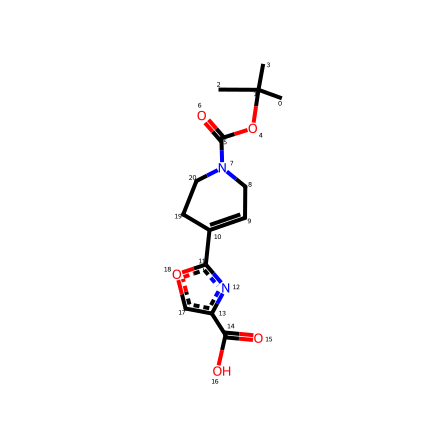 CC(C)(C)OC(=O)N1CC=C(c2nc(C(=O)O)co2)CC1